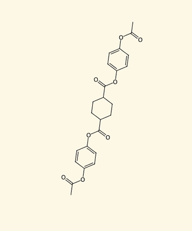 CC(=O)Oc1ccc(OC(=O)C2CCC(C(=O)Oc3ccc(OC(C)=O)cc3)CC2)cc1